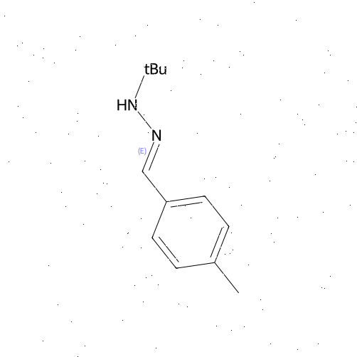 Cc1ccc(/C=N/NC(C)(C)C)cc1